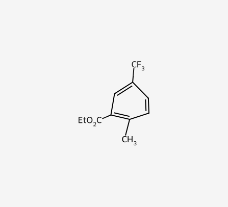 CCOC(=O)c1cc(C(F)(F)F)ccc1C